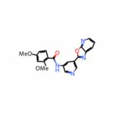 COc1ccc(C(=O)Nc2cncc(-c3nc4cccnc4o3)c2)c(OC)c1